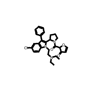 CCN(CC)CCn1c(C2CCCN2C(=O)C2OC=CC2=O)c(-c2ccccc2)c2cc(Cl)ccc21